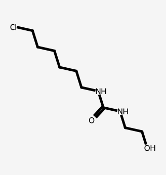 O=C(NCCO)NCCCCCCCl